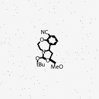 CO/C=C/CC1c2cccc(C#N)c2OCCN1C(=O)OC(C)(C)C